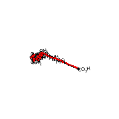 CNC(=O)[C@H](CO)NC(=O)[C@H](CCC(N)=O)NC(=O)[C@H](CCN(C)C)NC(=O)[C@H](CO)NC(=O)[C@H](CCC(N)=O)NC(=O)[C@@H](CO)NC(=O)CNC(=O)COCCOCCNC(=O)COCCOCCNC(=O)CCCCCCCCCCCCCCCCCCC(=O)O